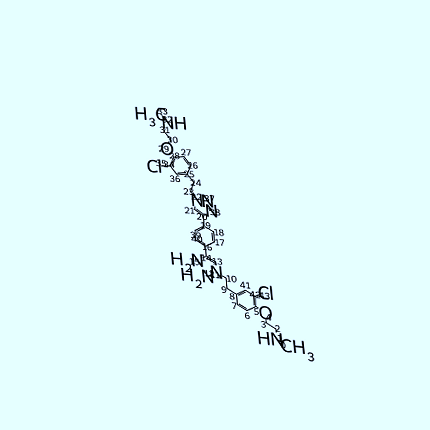 CNCCOc1ccc(CCN(N)/C=C(\N)c2ccc(-c3cn(CCc4ccc(OCCNC)c(Cl)c4)nn3)cc2)cc1Cl